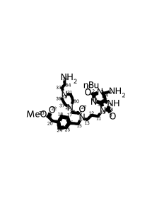 CCCCOc1nc(N)c2[nH]c(=O)n(CCCN(Cc3ccc(CC(=O)OC)cc3)C(=O)CN3CCN(CCN)CC3)c2n1